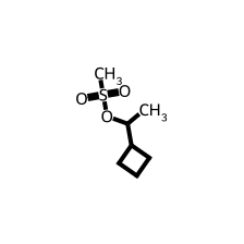 CC(OS(C)(=O)=O)C1CCC1